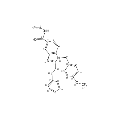 CCCCCNC(=O)c1ccc2c(c1)nc(COc1ccccc1)n2Cc1ccc(OC(F)(F)F)cc1